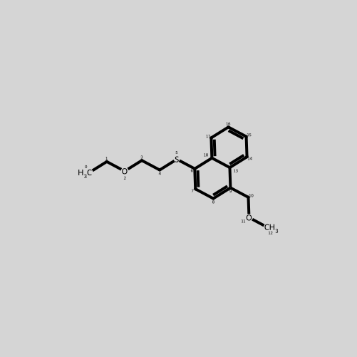 CCOCCSc1ccc(COC)c2ccccc12